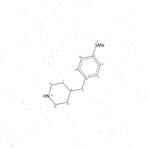 CSc1ccc(CC2CCNCC2)cc1